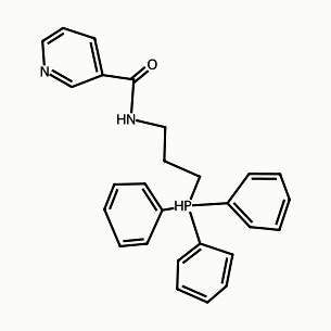 O=C(NCCC[PH](c1ccccc1)(c1ccccc1)c1ccccc1)c1cccnc1